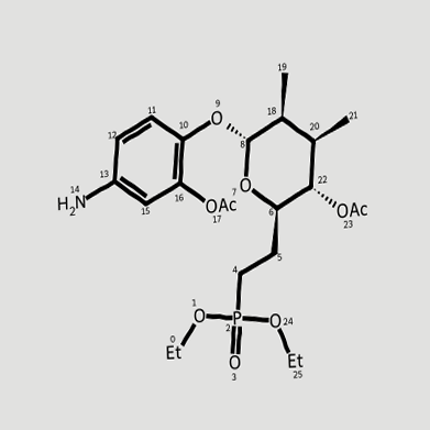 CCOP(=O)(CC[C@H]1O[C@H](Oc2ccc(N)cc2OC(C)=O)[C@@H](C)[C@@H](C)[C@@H]1OC(C)=O)OCC